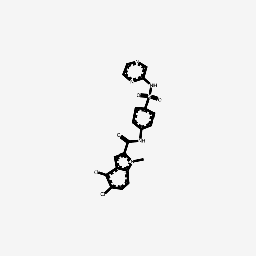 Cn1c(C(=O)Nc2ccc(S(=O)(=O)Nc3cnccn3)cc2)cc2c(Cl)c(Cl)ccc21